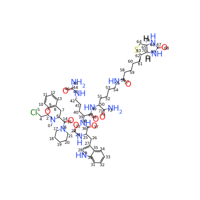 CN(C(=O)CCl)C(Cc1ccccc1)C(=O)N1CCCC[C@H]1C(=O)NC(Cc1c[nH]c2ccccc12)C(=O)NC(CCCNC(N)=O)C(=O)NC(CCCCNC(=O)CCCC[C@H]1SC[C@H]2NC(=O)N[C@H]21)C(N)=O